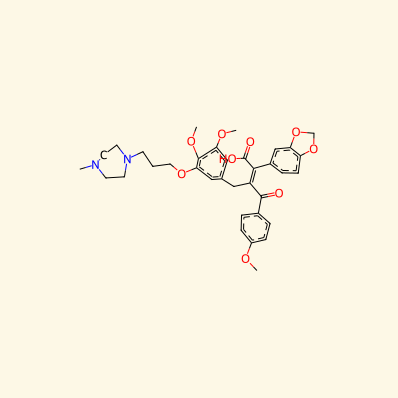 COc1ccc(C(=O)/C(Cc2cc(OC)c(OC)c(OCCCN3CCN(C)CC3)c2)=C(/C(=O)O)c2ccc3c(c2)OCO3)cc1